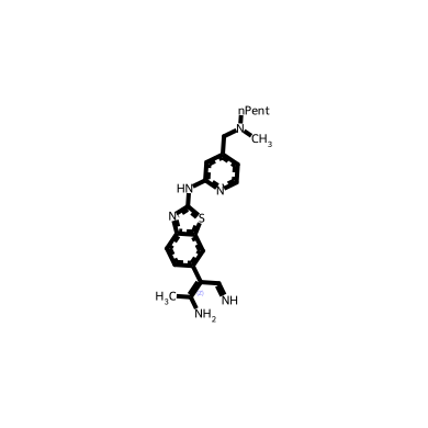 CCCCCN(C)Cc1ccnc(Nc2nc3ccc(/C(C=N)=C(\C)N)cc3s2)c1